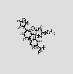 CN1C(=O)C(c2ccnc(C(F)F)c2)(c2cc(-c3ccon3)ccc2F)N=C1N